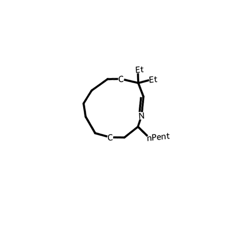 CCCCCC1CCCCCCCCC(CC)(CC)C=N1